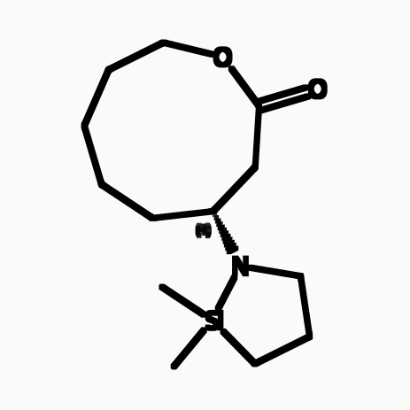 C[Si]1(C)CCCN1[C@@H]1CCCCCOC(=O)C1